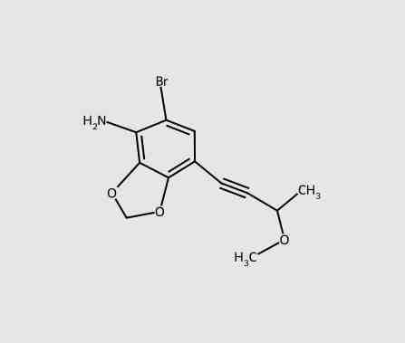 COC(C)C#Cc1cc(Br)c(N)c2c1OCO2